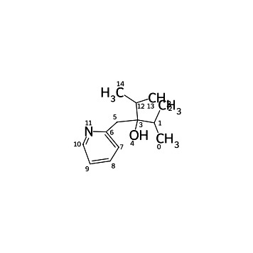 CC(C)C(O)(Cc1ccccn1)C(C)C